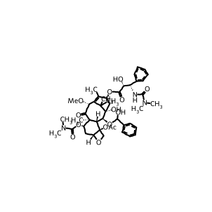 CO[C@H]1C(=O)[C@]2(C)[C@@H](OC(=O)N(C)C)C[C@H]3OC[C@@]3(OC(C)=O)[C@H]2[C@H](OC(O)c2ccccc2)[C@]2(O)C[C@H](OC(=O)[C@H](O)[C@@H](NC(=O)N(C)C)c3ccccc3)C(C)=C1C2(C)C